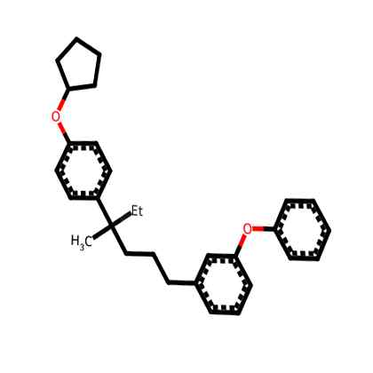 CCC(C)(CCCc1cccc(Oc2ccccc2)c1)c1ccc(OC2CCCC2)cc1